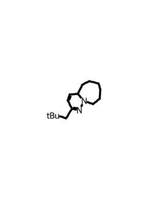 CC(C)(C)CC1=NN2CCCCCCC2C=C1